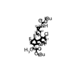 CN(C(=O)OC(C)(C)C)c1cc(F)c(F)c2c1[nH]c1ncc(Cl)c(N3CC[C@@]4(CC4NC(=O)OC(C)(C)C)C3)c12